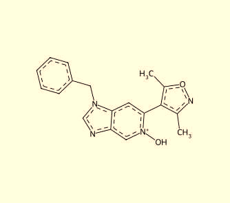 Cc1noc(C)c1-c1cc2c(c[n+]1O)ncn2Cc1ccccc1